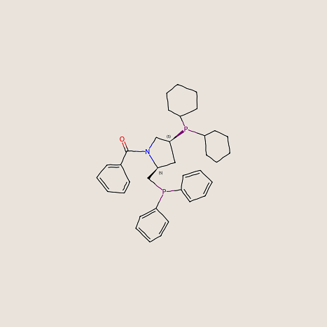 O=C(c1ccccc1)N1C[C@@H](P(C2CCCCC2)C2CCCCC2)C[C@H]1CP(c1ccccc1)c1ccccc1